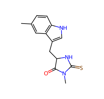 Cc1ccc2[nH]cc(CC3NC(=S)N(C)C3=O)c2c1